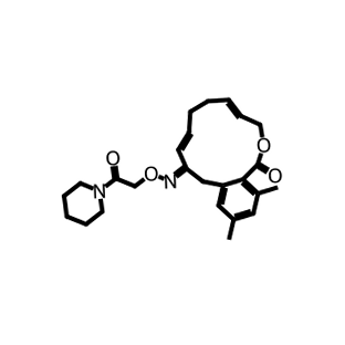 Cc1cc(C)c2c(c1)CC(=N/OCC(=O)N1CCCCC1)/C=C/CC/C=C/COC2=O